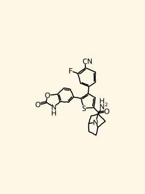 N#Cc1ccc(-c2cc(C(=O)N3C4CCC3CC(N)C4)sc2-c2ccc3oc(=O)[nH]c3c2)cc1F